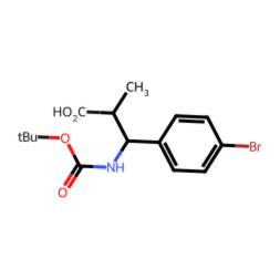 CC(C(=O)O)C(NC(=O)OC(C)(C)C)c1ccc(Br)cc1